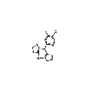 Clc1ccc(C2C3=C(CCS3)NC3=C2SCC3)cc1Cl